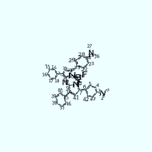 CN(C)c1ccc(C2=N/C(=N\c3c(-c4ccccc4)cc(-c4ccc(N(C)C)cc4)n3B(F)F)C(c3ccccc3)=C2)cc1